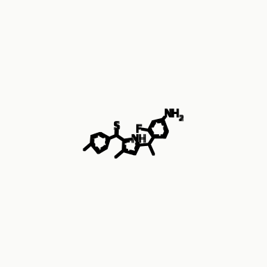 Cc1ccc(C(=S)c2[nH]c(C(C)c3ccc(N)cc3F)cc2C)cc1